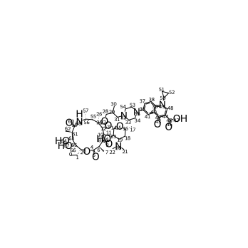 CC[C@H]1OC(=O)[C@H](C)C(=O)[C@H](C)[C@@H](O[C@@H]2O[C@H](C)C[C@H](N(C)C)[C@H]2O)[C@](C)(OCC(C)CN2CCN(c3ccc4c(c3)c(=O)c(C(=O)O)cn4C3CC3)CC2)C[C@@H](C)NC(=O)[C@H](C)[C@@H](O)[C@]1(C)O